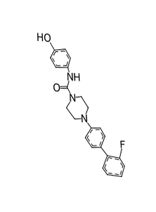 O=C(Nc1ccc(O)cc1)N1CCN(c2ccc(-c3ccccc3F)cc2)CC1